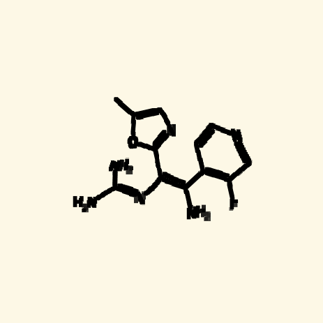 Cc1cnc(/C(N=C(N)N)=C(/N)c2ccncc2F)o1